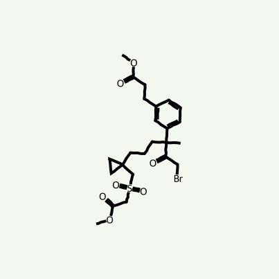 COC(=O)CCc1cccc(C(C)(CCCC2(CS(=O)(=O)CC(=O)OC)CC2)C(=O)CBr)c1